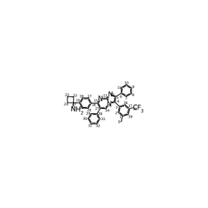 Cc1cc(-c2c(-c3ccccc3)nc3nc(-c4ccc(C5(N)CCC5)cc4)c(-c4ccccc4)cn23)cc(C(F)(F)F)c1